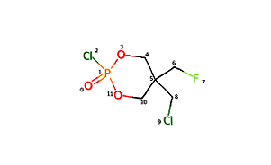 O=P1(Cl)OCC(CF)(CCl)CO1